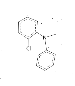 CN(c1ccccc1)c1c[c]ccc1Cl